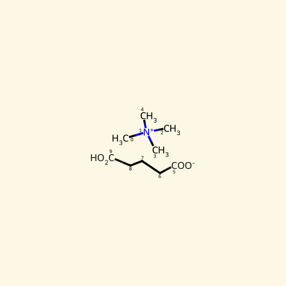 C[N+](C)(C)C.O=C([O-])CCCC(=O)O